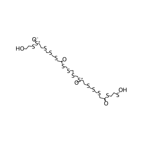 O=C(CSCSCSCC[S+]([O-])CSCSCSC(=O)CSCSCSCC[S+]([O-])SCCO)SCCSO